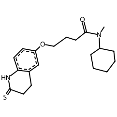 CN(C(=O)CCCOc1ccc2c(c1)CCC(=S)N2)C1CCCCC1